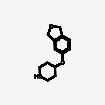 c1cc2c(cc1OC1CCNCC1)COC2